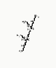 NCCCNCCCC(NCCCN)C(=O)NCCCCCNC(=O)C(CCCNCCCN)NCCCN